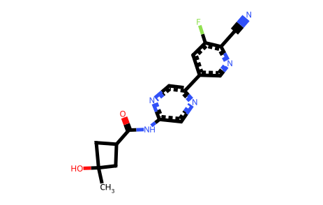 CC1(O)CC(C(=O)Nc2cnc(-c3cnc(C#N)c(F)c3)cn2)C1